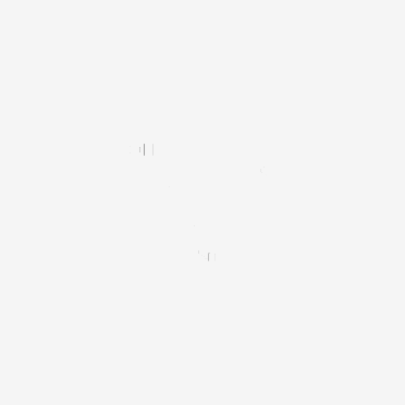 [CH3][Sn]([CH3])([CH3])[c]1cc(CO)cc(-c2cccs2)c1